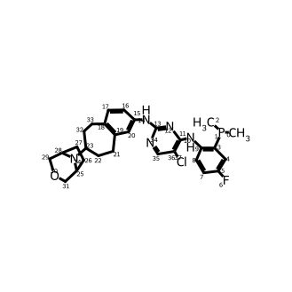 CP(C)c1cc(F)ccc1Nc1nc(Nc2ccc3c(c2)CCC(N2C4CCC2COC4)CC3)ncc1Cl